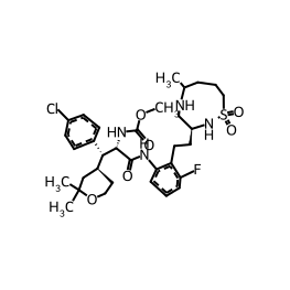 COC(=O)N[C@H](C(=O)Nc1cccc(F)c1CC[C@H]1CNC(C)CCCS(=O)(=O)N1)[C@@H](c1ccc(Cl)cc1)[C@H]1CCOC(C)(C)C1